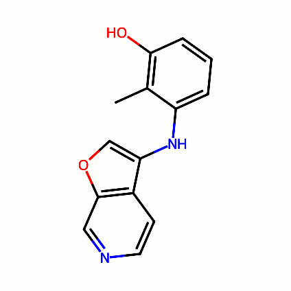 Cc1c(O)cccc1Nc1coc2cnccc12